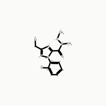 CON(C)C(=O)c1nc(CCl)nn1-c1ccccc1Cl